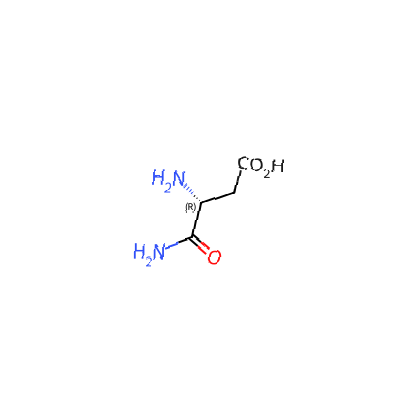 NC(=O)[C@H](N)CC(=O)O